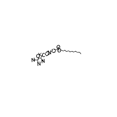 CCCCCCCCCCCCOC(=O)c1ccc(N2C=CC(=C=C3C(C#N)C(=C(C#N)C#N)OC3(C)C)C=C2)cc1